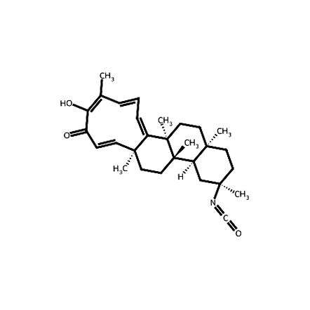 CC1=C(/O)C(=O)/C=C/[C@]2(C)CC[C@@]3(C)[C@@H]4C[C@](C)(N=C=O)CC[C@]4(C)CC[C@]3(C)\C2=C/C=C/1